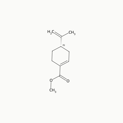 C=C(C)[C@@H]1CC=C(C(=O)OC)CC1